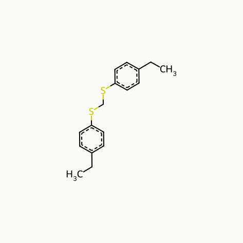 CCc1ccc(SCSc2ccc(CC)cc2)cc1